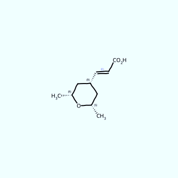 C[C@@H]1C[C@H](/C=C/C(=O)O)C[C@H](C)O1